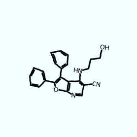 N#Cc1cnc2oc(-c3ccccc3)c(-c3ccccc3)c2c1NCCCO